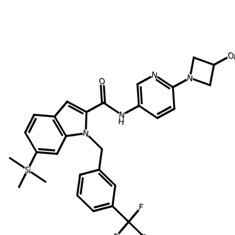 C[Si](C)(C)c1ccc2cc(C(=O)Nc3ccc(N4CC(O)C4)nc3)n(Cc3cccc(C(F)(F)F)c3)c2c1